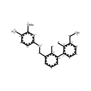 COc1nc(OCc2cccc(-c3cccc(CO)c3C)c2C)ccc1N